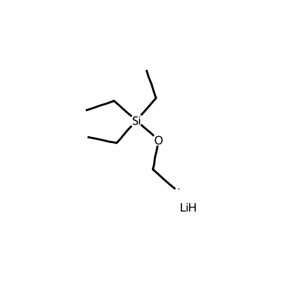 [CH2]CO[Si](CC)(CC)CC.[LiH]